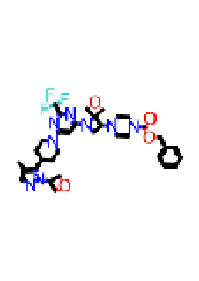 Cc1cnn(C2COC2)c1C1CCN(c2cc(N3CC(N4CCN(C(=O)OCc5ccccc5)CC4)C34COC4)nc(C(F)(F)F)n2)CC1